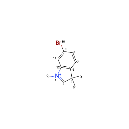 C[N+]1=CC(C)(C)c2ccc(Br)cc21